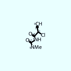 C#CC(Cl)C(=O)NC(=O)NC